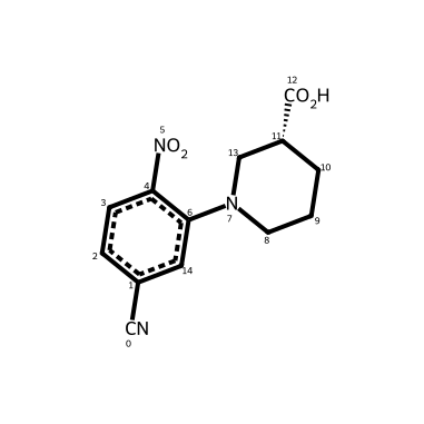 N#Cc1ccc([N+](=O)[O-])c(N2CCC[C@@H](C(=O)O)C2)c1